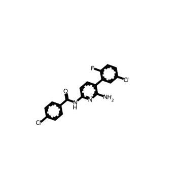 Nc1nc(NC(=O)c2ccc(Cl)cc2)ccc1-c1cc(Cl)ccc1F